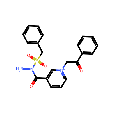 NN(C(=O)c1ccc[n+](CC(=O)c2ccccc2)c1)S(=O)(=O)Cc1ccccc1